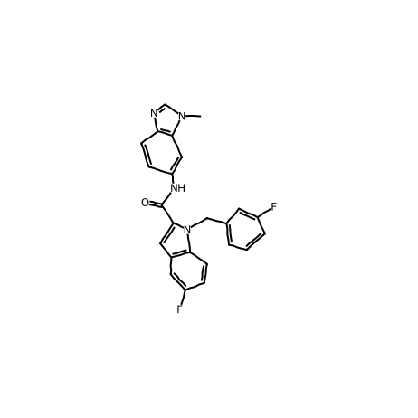 Cn1cnc2ccc(NC(=O)c3cc4cc(F)ccc4n3Cc3cccc(F)c3)cc21